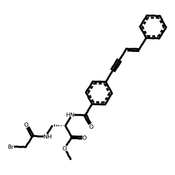 COC(=O)[C@H](CNC(=O)CBr)NC(=O)c1ccc(C#CC=Cc2ccccc2)cc1